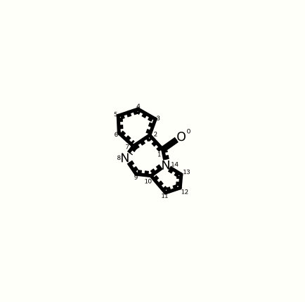 O=c1c2ccccc2ncc2cccn12